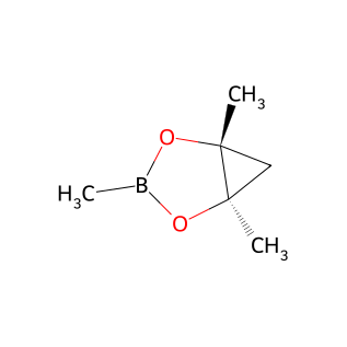 CB1O[C@]2(C)C[C@@]2(C)O1